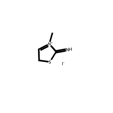 C[N+]1=CCSC1=N.[I-]